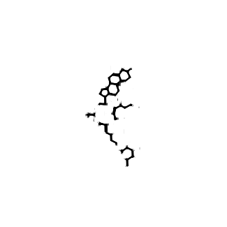 CC(C)(O)C1CCC(C2CCC3(C)C4CC=C5C(CCC(I)C5(C)C)C4(C)CCC23C)O/C(C(O)CCO)=C(\O)C(O)O/C(=C(/O)C(O)CCOC2OC(CO)C(O)C(O)C2O)C(O)O1